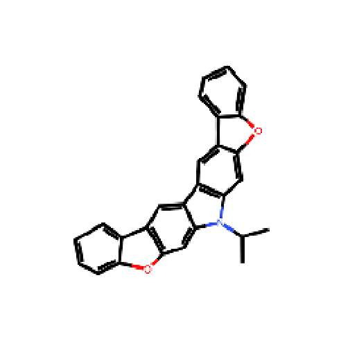 CC(C)n1c2cc3oc4ccccc4c3cc2c2cc3c(cc21)oc1ccccc13